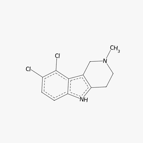 CN1CCc2[nH]c3ccc(Cl)c(Cl)c3c2C1